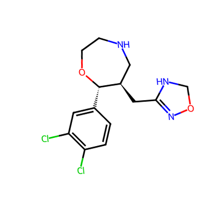 Clc1ccc([C@@H]2OCCNC[C@H]2CC2=NOCN2)cc1Cl